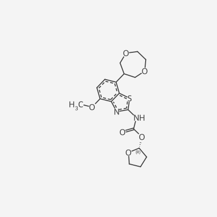 COc1ccc(C2COCCOC2)c2sc(NC(=O)O[C@@H]3CCCO3)nc12